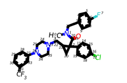 CN(Cc1ccc(F)cc1)C(=O)C1(c2ccc(Cl)cc2)CC1CN1CCN(c2cccc(C(F)(F)F)c2)CC1